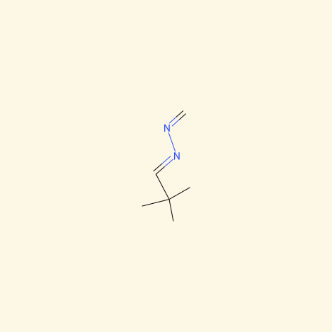 C=N/N=C/C(C)(C)C